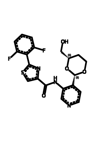 O=C(Nc1cnccc1[C@H]1OCC[C@@H](CO)O1)c1csc(-c2c(F)cccc2F)n1